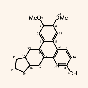 COc1cc2c3c(c4nc(O)ccc4c2cc1OC)CC1CCCC1C3